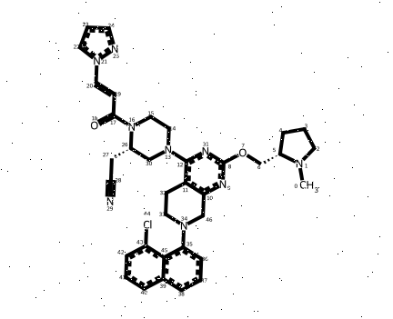 CN1CCC[C@H]1COc1nc2c(c(N3CCN(C(=O)/C=C/n4cccn4)[C@@H](CC#N)C3)n1)CCN(c1cccc3cccc(Cl)c13)C2